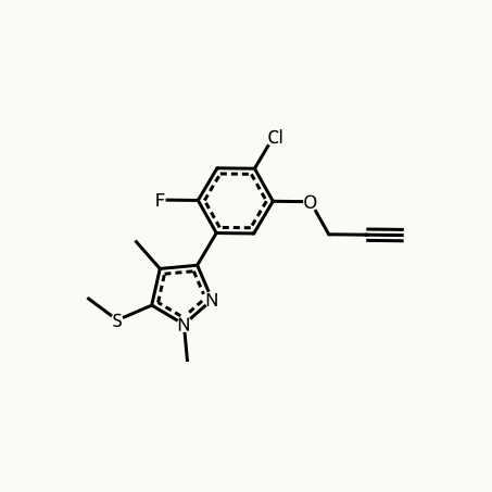 C#CCOc1cc(-c2nn(C)c(SC)c2C)c(F)cc1Cl